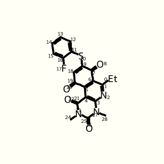 CCc1nc2c(c3c1C(=O)C(Sc1ccccc1F)=CC3=O)c(=O)n(C)c(=O)n2C